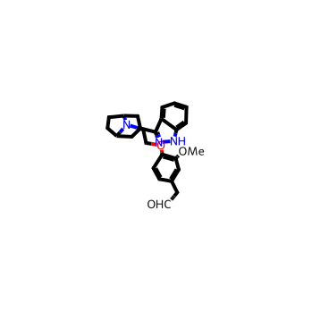 COc1cc(CC=O)ccc1OCCN1C2CCC1CC(c1n[nH]c3ccccc13)C2